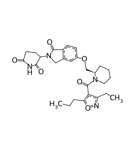 CCCc1onc(CC)c1C(=O)N1CCCC[C@@H]1COc1ccc2c(c1)CN(C1CCC(=O)NC1=O)C2=O